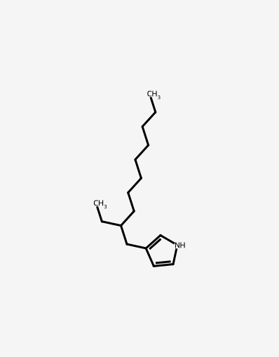 CCCCCCCCC(CC)Cc1cc[nH]c1